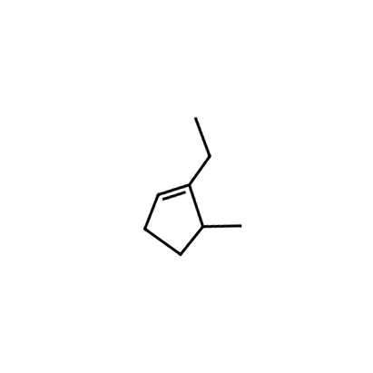 CCC1=CCCC1C